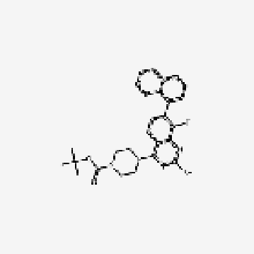 CC(C)(C)OC(=O)N1CCN(c2nc(S)nc3c(F)c(-c4cccc5ccccc45)ccc23)CC1